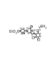 C=CCOc1ccc(Cl)c(Cl)c1[C@H]1C=C2CN(c3ccc(C(=O)OCC)cn3)CC(=O)N2C1